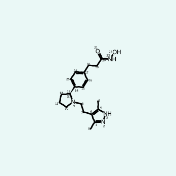 Cc1n[nH]c(C)c1CCN1CCC[C@H]1c1ccc(CCC(=O)NO)cc1